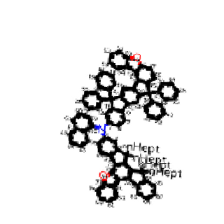 CCCCCCCC1(CCCCCCC)c2cc(N(c3ccc4c(c3)C(c3ccccc3)(c3ccccc3)c3cc5c(cc3-4)C(c3ccccc3)(c3ccccc3)c3ccc4oc6ccccc6c4c3-5)c3cccc4ccccc34)ccc2-c2c1c1c(c3c2oc2ccccc23)-c2ccccc2C1(CCCCCCC)CCCCCCC